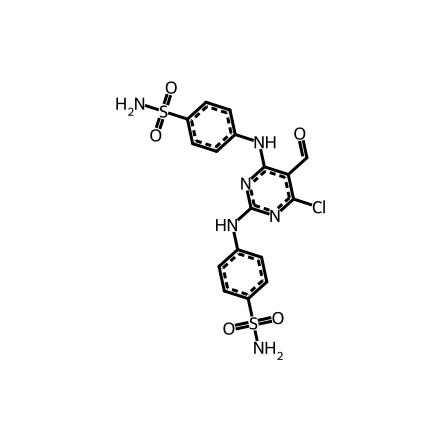 NS(=O)(=O)c1ccc(Nc2nc(Cl)c(C=O)c(Nc3ccc(S(N)(=O)=O)cc3)n2)cc1